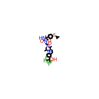 C/C=C\c1cc(C(O)(C(F)(F)F)C(F)(F)F)ccc1N1CC(C)N(C(=O)CN2C(=O)N[C@](C)(c3ccc(SC4CC4)cc3)C2=O)CC1C